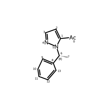 CC(=O)c1ccnn1[C@H](C)c1ccccc1